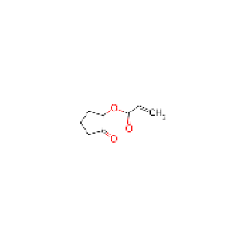 C=CC(=O)OC1CCCC1=O